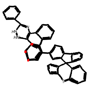 c1ccc(C2=NC(c3ccccc3-c3ccccc3-c3ccc4c(c3)C3(c5ccccc5Sc5ccccc53)c3ccccc3-4)=C(c3ccccc3)NN2)cc1